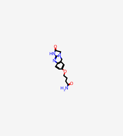 NC(=O)CCCOc1ccc2c(c1)CN1CC(=O)NC1=N2